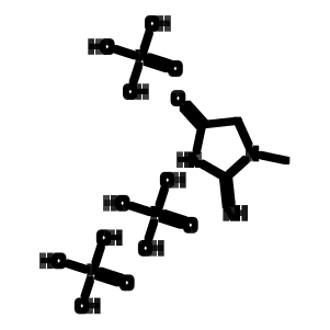 CN1CC(=O)NC1=N.O=P(O)(O)O.O=P(O)(O)O.O=P(O)(O)O